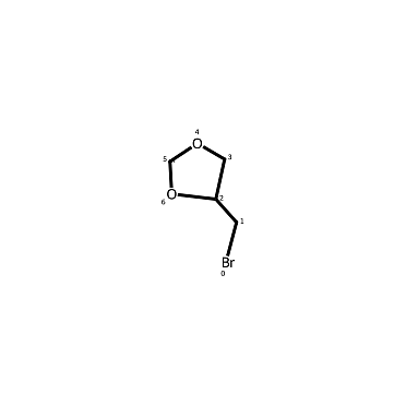 BrCC1CO[CH]O1